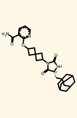 NC(=O)c1cccnc1OC1CC2(C1)CC(N1C(=O)N[C@H](CC34CC5CC(CC(C5)C3)C4)C1=O)C2